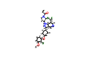 C=CC(=O)N1CC[C@@H](n2nc(-c3ccc(Oc4cccc(OC)c4F)cc3)c3cncc(C(F)F)c32)C1